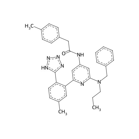 CCCN(Cc1ccccc1)c1cc(NC(=O)Cc2ccc(C)cc2)cc(-c2cc(C)ccc2-c2nnn[nH]2)n1